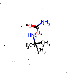 CC(C)(C)NOC(N)=O